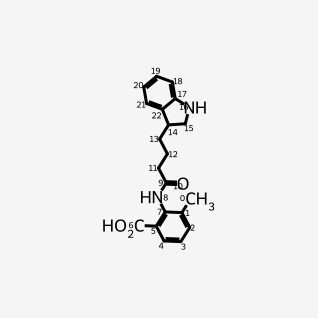 Cc1cccc(C(=O)O)c1NC(=O)CCCC1CNc2ccccc21